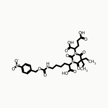 CCC1(CC)C(=O)N(C(CCCCNC(=O)OCc2ccc([N+](=O)[O-])cc2)C(=O)O)C(=O)N(C(CCC(=O)O)C(=O)O)C1=O